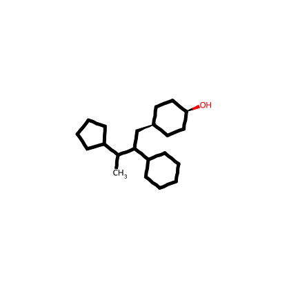 CC(C1CCCC1)C(C[C@H]1CC[C@@H](O)CC1)C1CCCCC1